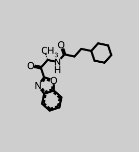 C[C@H](NC(=O)CCC1CCCCC1)C(=O)c1nc2ccccc2o1